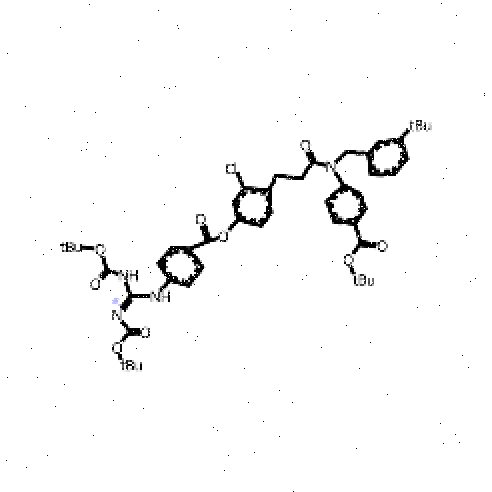 CC(C)(C)OC(=O)/N=C(/NC(=O)OC(C)(C)C)Nc1ccc(C(=O)Oc2ccc(CCC(=O)N(Cc3cccc(C(C)(C)C)c3)c3ccc(C(=O)OC(C)(C)C)cc3)c(Cl)c2)cc1